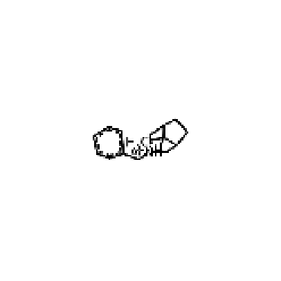 CC(=O)NC1(C)C2CCC1CN(Cc1ccccc1)C2